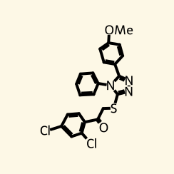 COc1ccc(-c2nnc(SCC(=O)c3ccc(Cl)cc3Cl)n2-c2ccccc2)cc1